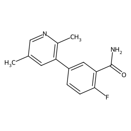 Cc1cnc(C)c(-c2ccc(F)c(C(N)=O)c2)c1